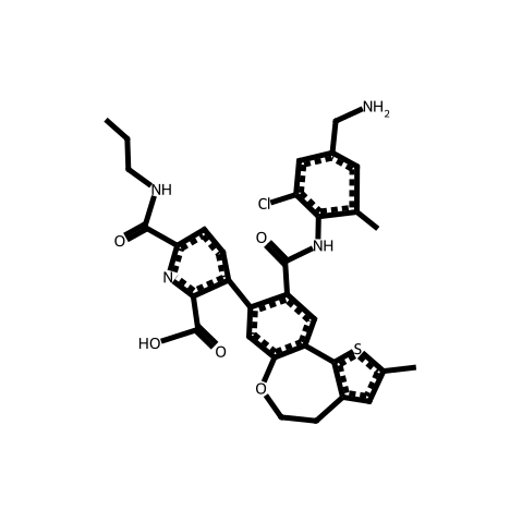 CCCNC(=O)c1ccc(-c2cc3c(cc2C(=O)Nc2c(C)cc(CN)cc2Cl)-c2sc(C)cc2CCO3)c(C(=O)O)n1